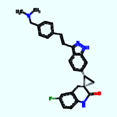 CN(C)Cc1ccc(/C=C/c2n[nH]c3cc([C@@H]4C[C@]45Cc4cc(F)ccc4NC5=O)ccc23)cc1